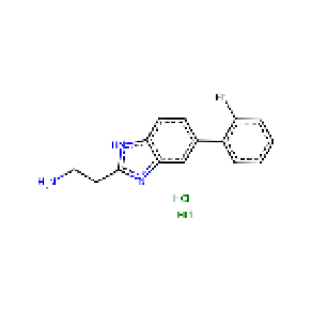 CCc1ccccc1-c1ccc2[nH]c(CCN)nc2c1.Cl.Cl